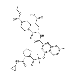 CCOC(=O)N1CCN(C(=O)[C@H](CCC(=O)O)NC(=O)c2cc(OC(C)(C)C(=O)N3CCC[C@H]3C(=O)NC3CC3)c3ccc(C)cc3n2)CC1